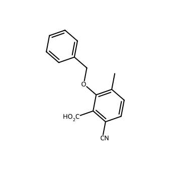 Cc1ccc(C#N)c(C(=O)O)c1OCc1ccccc1